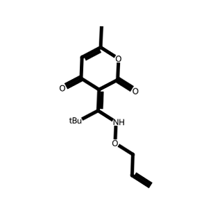 C=CCONC(=C1C(=O)C=C(C)OC1=O)C(C)(C)C